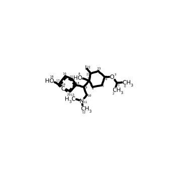 CC(C)OC1CCC(O)(C(CN(C)C)c2ccc(O)cc2)C(I)C1